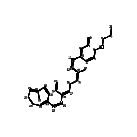 C=C/C=C(\C=C/COCCC)/N=N\C(C)=CC/C=C(C=C)/N=N\C1=CCC/C=C(C)/C=C\1